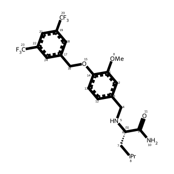 COc1cc(CN[C@@H](CC(C)C)C(N)=O)ccc1OCc1cc(C(F)(F)F)cc(C(F)(F)F)c1